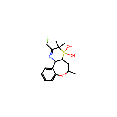 CC1CC2C(N=C(CF)C(C)(C)S2(O)O)c2ccccc2O1